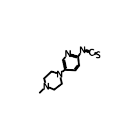 CN1CCN(c2ccc(N=C=S)nc2)CC1